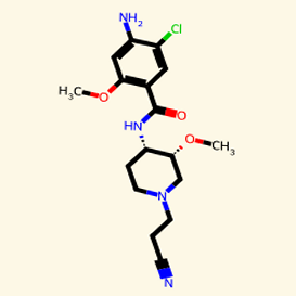 COc1cc(N)c(Cl)cc1C(=O)N[C@H]1CCN(CCC#N)C[C@H]1OC